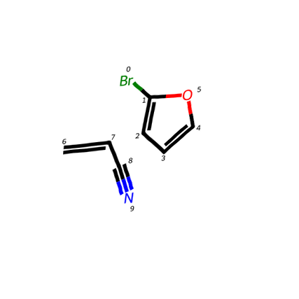 Brc1ccco1.C=CC#N